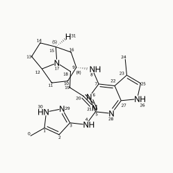 Cc1cc(Nc2nc(N[C@@H]3CCC4CC[C@@H](C3)N4CCC#N)c3c(C)c[nH]c3n2)n[nH]1